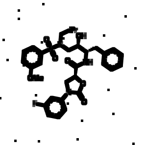 COc1cccc(S(=O)(=O)N(CC(C)C)C[C@@H](O)[C@H](Cc2ccccc2)NC(=O)[C@@H]2CN(c3cccc(F)c3)C(=O)O2)c1